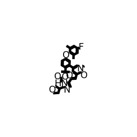 CC(=O)OC(C)(C)c1ccc(Oc2c(C)cc(F)cc2C)cc1-c1cn(C)c(=O)c2cc(-c3cnc(C4CCOC4)[nH]3)oc12